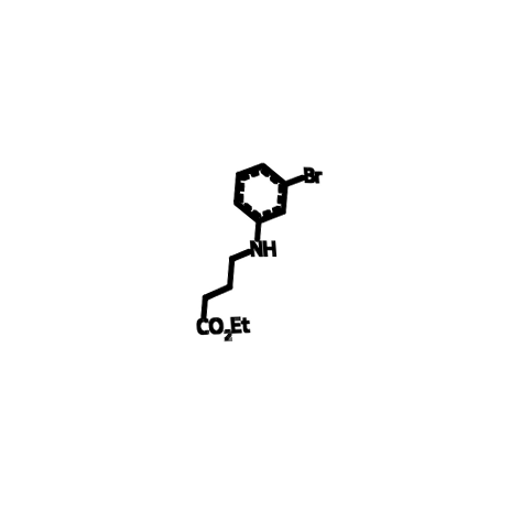 CCOC(=O)CCCNc1cccc(Br)c1